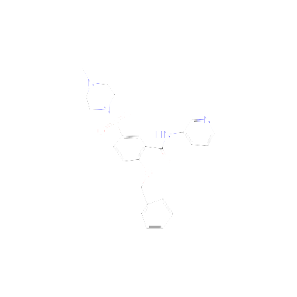 CN1CCN(S(=O)(=O)c2ccc(OCc3ccccc3)c(C(=O)Nc3cccnc3)c2)CC1